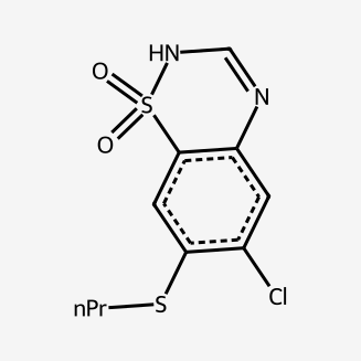 CCCSc1cc2c(cc1Cl)N=CNS2(=O)=O